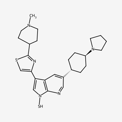 CN1CCC(c2nc(-c3cn(S)c4ncc([C@H]5CC[C@H](N6CCCC6)CC5)cc34)cs2)CC1